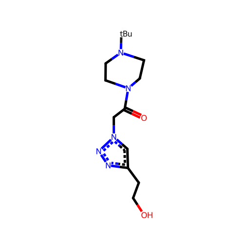 CC(C)(C)N1CCN(C(=O)Cn2cc(CCO)nn2)CC1